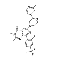 Cc1cc(C2CN(c3cc4c(=O)n(C)c(C)nc4c(-c4ccc(C(F)(F)F)cc4F)n3)CCO2)ccn1